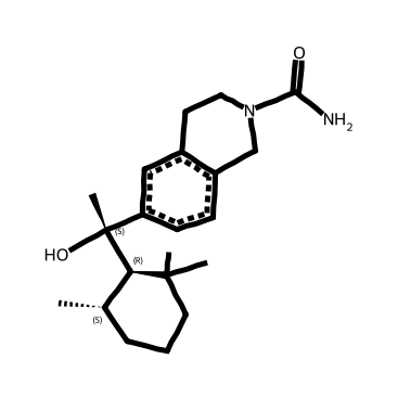 C[C@H]1CCCC(C)(C)[C@@H]1[C@](C)(O)c1ccc2c(c1)CCN(C(N)=O)C2